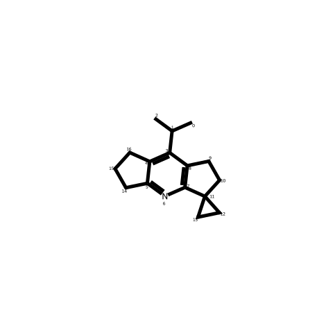 CC(C)c1c2c(nc3c1CCC31CC1)CCC2